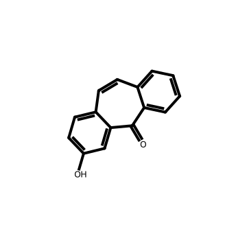 O=c1c2ccccc2ccc2ccc(O)cc12